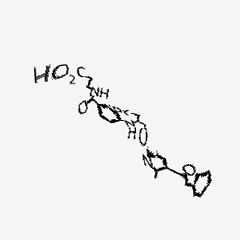 Cc1nc(OC[C@H](CC(C)C)Nc2ccc(C(=O)NCCC(=O)O)cc2)ccc1-c1cc2ccccc2o1